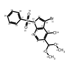 COC(OC)c1cnc2c(c(Br)cn2S(=O)(=O)c2ccccc2)c1Cl